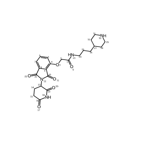 O=C(COc1cccc2c1C(=O)N(C1CCC(=O)NC1=O)C2=O)NCCCC1CCNCC1